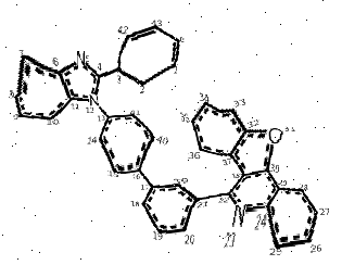 C1=CCC(c2nc3ccccc3n2-c2ccc(-c3cccc(-c4nc5ccccc5c5oc6ccccc6c45)c3)cc2)C=C1